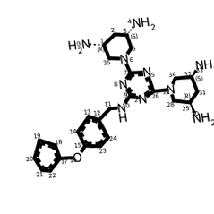 N[C@@H]1C[C@H](N)CN(c2nc(NCc3ccc(Oc4ccccc4)cc3)nc(N3C[C@H](N)C[C@H](N)C3)n2)C1